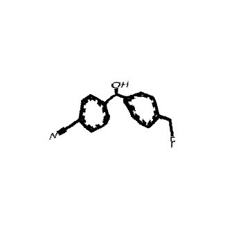 N#Cc1ccc(C(O)c2ccc(CF)cc2)cc1